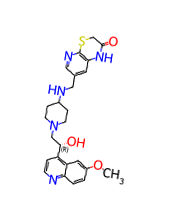 COc1ccc2nccc([C@@H](O)CN3CCC(NCc4cnc5c(c4)NC(=O)CS5)CC3)c2c1